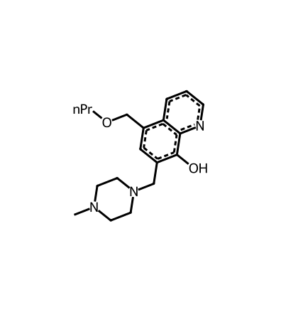 CCCOCc1cc(CN2CCN(C)CC2)c(O)c2ncccc12